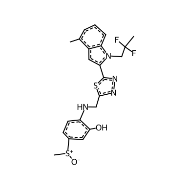 Cc1cccc2c1cc(-c1nnc(CNc3ccc([S+](C)[O-])cc3O)s1)n2CC(C)(F)F